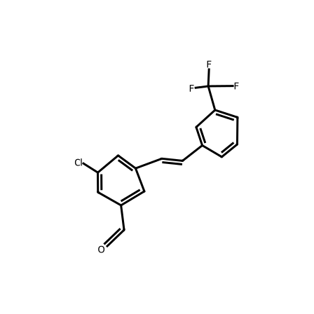 O=Cc1cc(Cl)cc(/C=C/c2cccc(C(F)(F)F)c2)c1